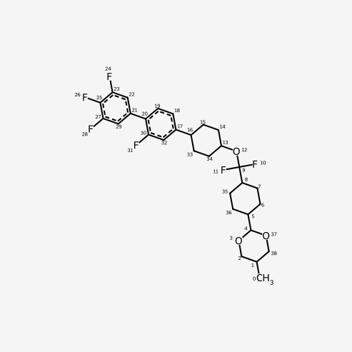 CC1COC(C2CCC(C(F)(F)OC3CCC(c4ccc(-c5cc(F)c(F)c(F)c5)c(F)c4)CC3)CC2)OC1